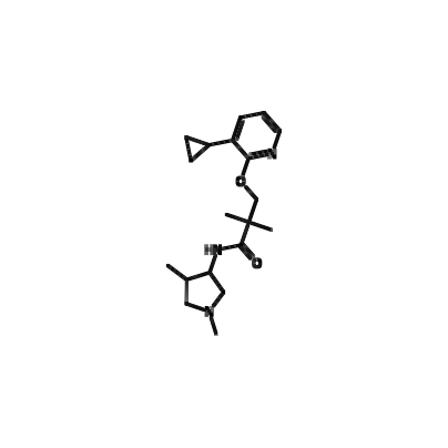 CC1CN(C)CC1NC(=O)C(C)(C)COc1ncccc1C1CC1